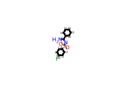 NC(=NS(=O)(=O)c1ccc(F)cc1)c1ccccc1